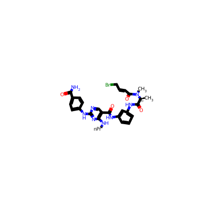 CCCNc1nc(Nc2ccc(C(N)=O)cc2)ncc1C(=O)Nc1cccc(NC(=O)[C@H](C)N(C)C(=O)C=CCBr)c1